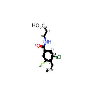 CC(C)Cc1c(F)cc(C(=O)NCCC(=O)O)cc1Cl